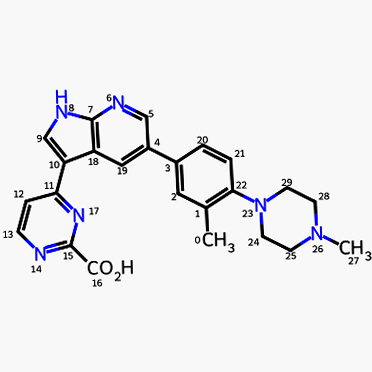 Cc1cc(-c2cnc3[nH]cc(-c4ccnc(C(=O)O)n4)c3c2)ccc1N1CCN(C)CC1